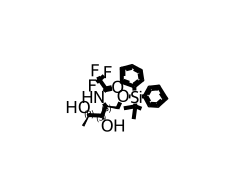 C[C@@H](O)[C@@H](O)[C@H](CO[Si](c1ccccc1)(c1ccccc1)C(C)(C)C)NC(=O)C(F)(F)F